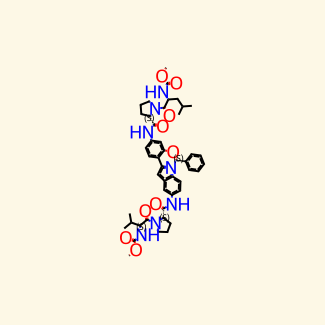 COC(=O)NC(CC(C)C)C(=O)N1CCC[C@H]1C(=O)Nc1ccc2c(c1)O[C@@H](c1ccccc1)n1c-2cc2cc(NC(=O)[C@@H]3CCCN3C(=O)[C@@H](NC(=O)OC)C(C)C)ccc21